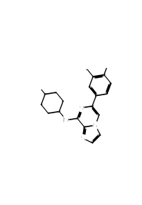 OC1CCC(Nc2nc(-c3ccc(F)c(Cl)c3)cn3ccnc23)CC1